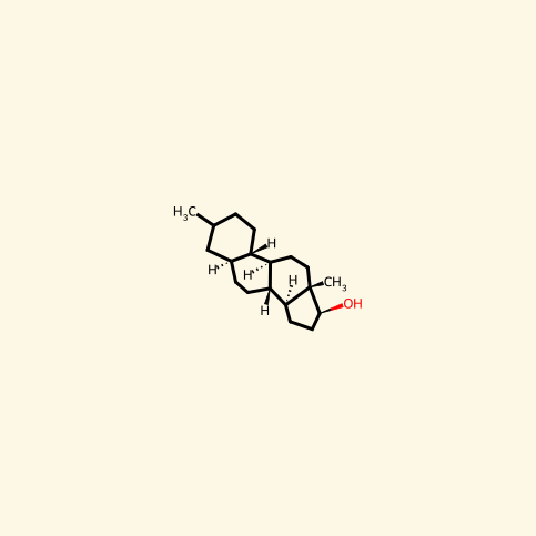 CC1CC[C@H]2[C@@H](CC[C@@H]3[C@@H]2CC[C@]2(C)[C@@H](O)CC[C@@H]32)C1